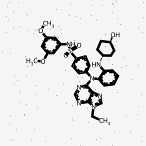 CCn1cnc2c(N(c3ccc(S(=O)(=O)Nc4cc(OC)cc(OC)c4)cc3)c3ccccc3N[C@H]3CC[C@H](O)CC3)ncnc21